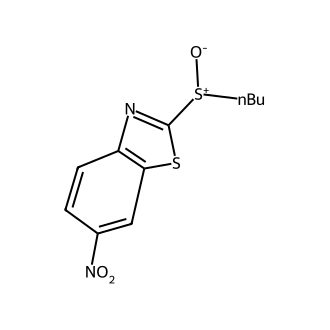 CCCC[S+]([O-])c1nc2ccc([N+](=O)[O-])cc2s1